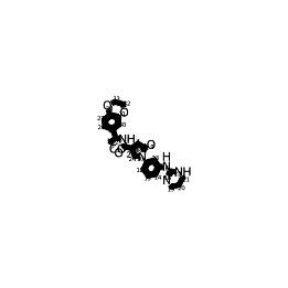 O=C(O)CC(NC(=O)C1CC(=O)N(c2cccc(NC3=NCCCN3)c2)C1)c1ccc2c(c1)OCCO2